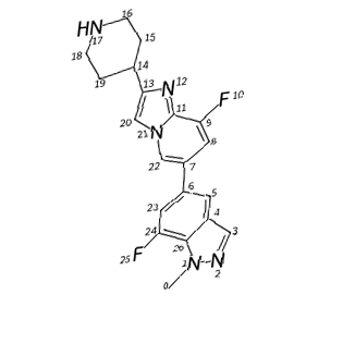 Cn1ncc2cc(-c3cc(F)c4nc(C5CCNCC5)cn4c3)cc(F)c21